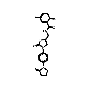 CC1=CCC(=S)C(C(=O)NCC2CN(c3ccc(N4CCCC4=O)cc3)C(=O)O2)=C1